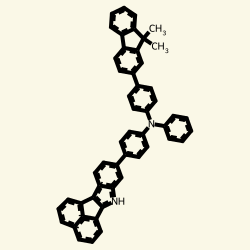 CC1(C)c2ccccc2-c2ccc(-c3ccc(N(c4ccccc4)c4ccc(-c5ccc6c7c([nH]c6c5)-c5cccc6cccc-7c56)cc4)cc3)cc21